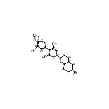 CCC1CCC2CC(c3cc(F)c(-c4ccc(OC(F)(F)F)c(F)c4)c(F)c3)CCC2C1